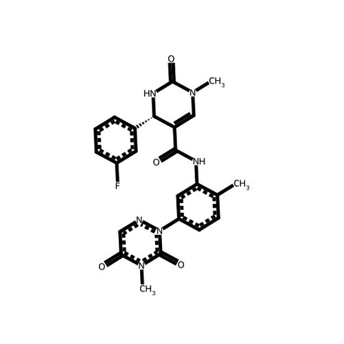 Cc1ccc(-n2ncc(=O)n(C)c2=O)cc1NC(=O)C1=CN(C)C(=O)N[C@H]1c1cccc(F)c1